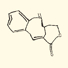 O=C1OCC2Nc3ccccc3C=C12